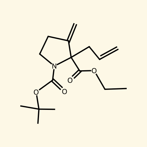 C=CCC1(C(=O)OCC)C(=C)CCN1C(=O)OC(C)(C)C